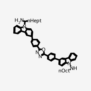 CCCCCCCCNn1c2ccccc2c2cc(-c3ccc(-c4nnc(-c5ccc(-c6ccc7c(c6)c6ccccc6n7C(N)CCCCCCC)cc5)o4)cc3)ccc21